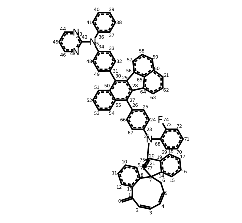 C=C1/C=C\C=C/CC2(c3ccccc31)c1ccccc1-c1c(N(c3ccc(-c4c5c(c(-c6ccc(N(c7ccccc7)c7ncccn7)cc6)c6ccccc46)-c4cccc6cccc-5c46)cc3)c3ccccc3F)cccc12